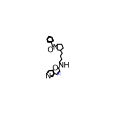 O=C(/C=C\c1cccnc1)NCCCCC1CCCN(C(=O)c2ccccc2)C1